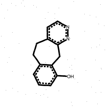 Oc1cccc2c1Cc1nnccc1CC2